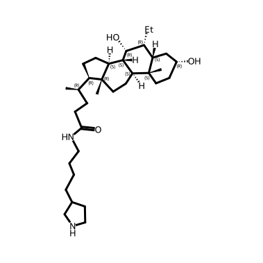 CC[C@H]1[C@@H](O)[C@@H]2[C@H](CC[C@]3(C)[C@@H]([C@H](C)CCC(=O)NCCCCC4CCNC4)CC[C@@H]23)[C@@]2(C)CC[C@@H](O)C[C@@H]12